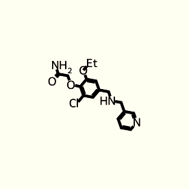 CCOc1cc(CNCc2cccnc2)cc(Cl)c1OCC(N)=O